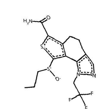 CCC[S+]([O-])c1sc(C(N)=O)c2c1-c1c(cnn1CC(F)(F)F)CC2